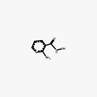 Nc1ncccc1C(=O)NO